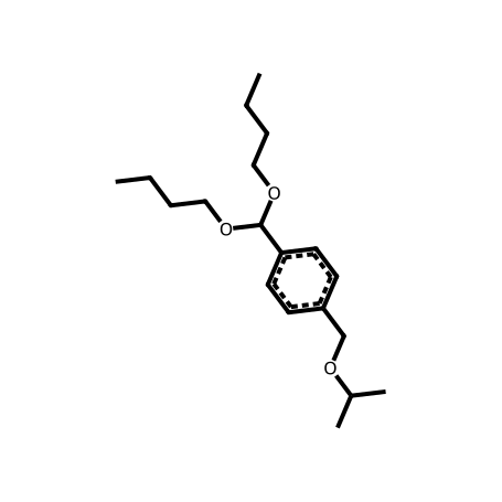 CCCCOC(OCCCC)c1ccc(COC(C)C)cc1